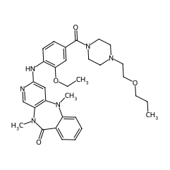 CCCOCCN1CCN(C(=O)c2ccc(Nc3cc4c(cn3)N(C)C(=O)c3ccccc3N4C)c(OCC)c2)CC1